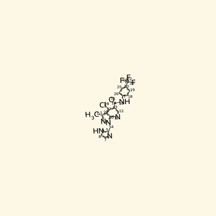 Cc1nn(Cc2ncc[nH]2)c2ncc(C(=O)Nc3ccc(C(F)(F)F)cc3)c(Cl)c12